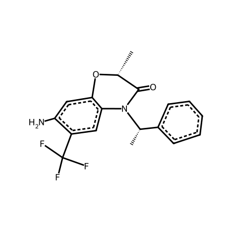 C[C@H]1Oc2cc(N)c(C(F)(F)F)cc2N([C@@H](C)c2ccccc2)C1=O